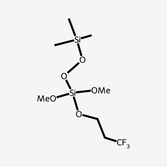 CO[Si](OC)(OCCC(F)(F)F)OO[Si](C)(C)C